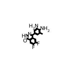 Cc1cc(-c2n[nH]c(=O)c3cc(F)c(F)cc23)cc(N)c1N